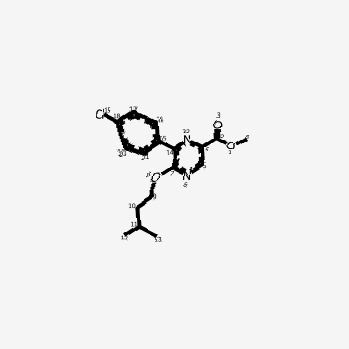 COC(=O)c1cnc(OCCC(C)C)c(-c2ccc(Cl)cc2)n1